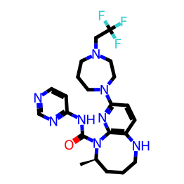 C[C@@H]1CCCNc2ccc(N3CCCN(CC(F)(F)F)CC3)nc2N1C(=O)Nc1ccncn1